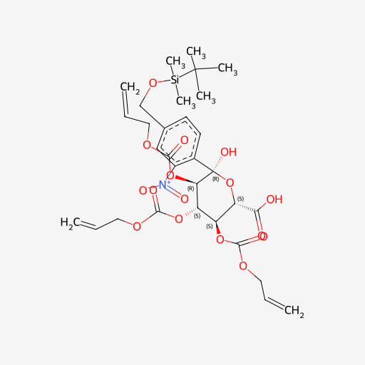 C=CCOC(=O)O[C@H]1[C@H](OC(=O)OCC=C)[C@@H](OC(=O)OCC=C)[C@@](O)(c2ccc(CO[Si](C)(C)C(C)(C)C)cc2[N+](=O)[O-])O[C@@H]1C(=O)O